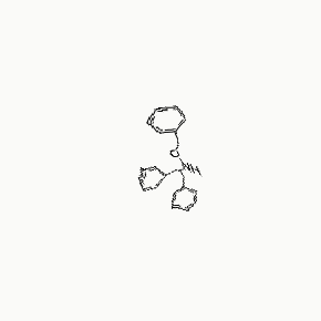 c1ccc(CONC(c2ccccc2)c2ccccc2)cc1